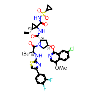 C=C[C@@H]1C[C@]1(NC(=O)[C@@H]1C[C@@H](Oc2ncc(OC)c3ccc(Cl)cc23)CN1C(=O)[C@@H](Nc1nc(-c2ccc(F)c(F)c2)cs1)C(C)(C)C)C(=O)NS(=O)(=O)C1CC1